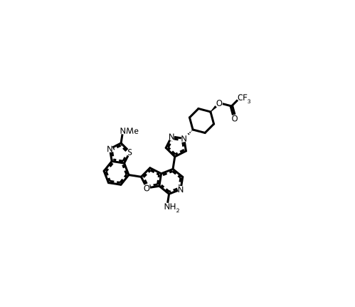 CNc1nc2cccc(-c3cc4c(-c5cnn([C@H]6CC[C@H](OC(=O)C(F)(F)F)CC6)c5)cnc(N)c4o3)c2s1